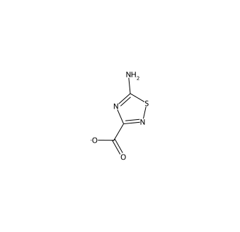 Nc1nc(C([O])=O)ns1